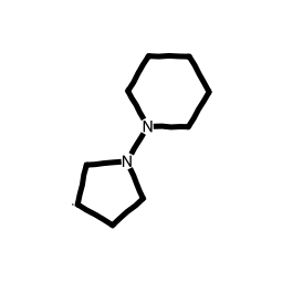 [CH]1CCN(N2CCCCC2)C1